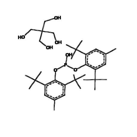 Cc1cc(C(C)(C)C)c(OP(O)Oc2c(C(C)(C)C)cc(C)cc2C(C)(C)C)c(C(C)(C)C)c1.OCC(CO)(CO)CO